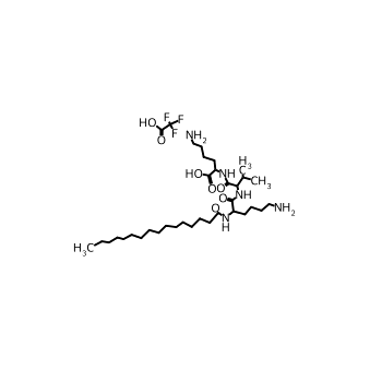 CCCCCCCCCCCCCCCC(=O)NC(CCCCN)C(=O)NC(C(=O)NC(CCCCN)C(=O)O)C(C)C.O=C(O)C(F)(F)F